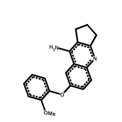 COc1ccccc1Oc1ccc2nc3c(c(N)c2c1)CCC3